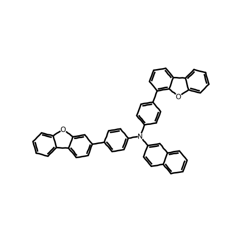 c1ccc2cc(N(c3ccc(-c4ccc5c(c4)oc4ccccc45)cc3)c3ccc(-c4cccc5c4oc4ccccc45)cc3)ccc2c1